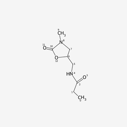 CCC(=O)NCC1CN(C)C(=O)O1